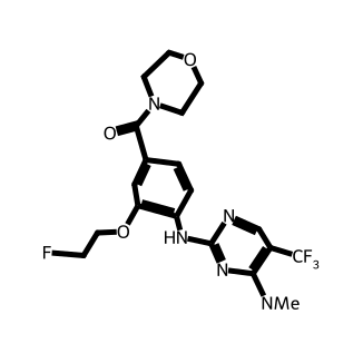 CNc1nc(Nc2ccc(C(=O)N3CCOCC3)cc2OCCF)ncc1C(F)(F)F